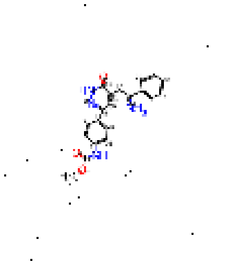 COC(=O)Nc1ccc(-c2cc(CC(N)c3ccccc3)c(=O)[nH]n2)cc1